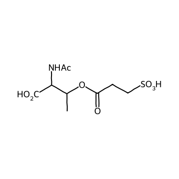 CC(=O)NC(C(=O)O)C(C)OC(=O)CCS(=O)(=O)O